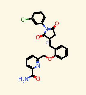 NC(=O)c1cccc(COc2ccccc2/C=C2\CC(=O)N(c3cccc(Cl)c3)C2=O)n1